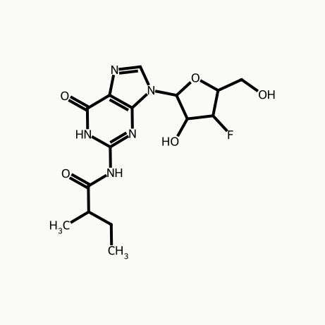 CCC(C)C(=O)Nc1nc2c(ncn2C2OC(CO)C(F)C2O)c(=O)[nH]1